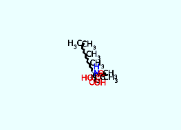 CC(C)=CCC/C(C)=C/CC/C(C)=C/CC[C@H](NC(=O)OC(C)(C)C)[C@@H](O)CC(=O)O